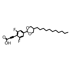 CCCCCCCCCCCC1COC(c2cc(F)c(C#CC(=O)O)c(F)c2)OC1